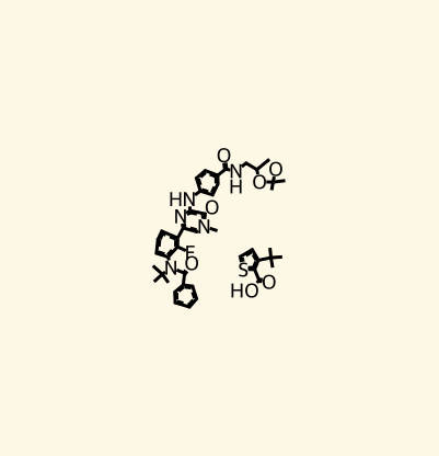 CC(C)(C)c1ccsc1C(=O)O.Cn1cc(-c2cccc(N(C(=O)c3ccccc3)C(C)(C)C)c2F)nc(Nc2ccc(C(=O)NCC3COC(C)(C)O3)cc2)c1=O